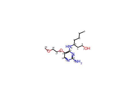 CCCCC(CCO)Nc1nc(N)ncc1OCCOC